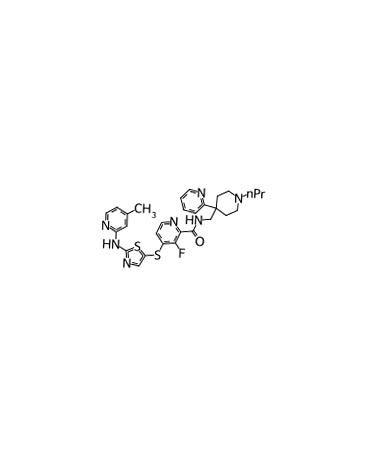 CCCN1CCC(CNC(=O)c2nccc(Sc3cnc(Nc4cc(C)ccn4)s3)c2F)(c2ccccn2)CC1